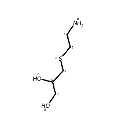 NCCSCC(O)CO